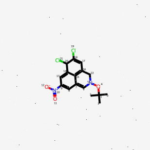 CC(C)(C)ON1C=c2cc([N+](=O)[O-])cc3c2=C(C=C(Cl)C3Cl)C1